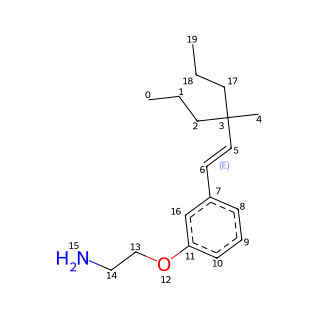 CCCC(C)(/C=C/c1cccc(OCCN)c1)CCC